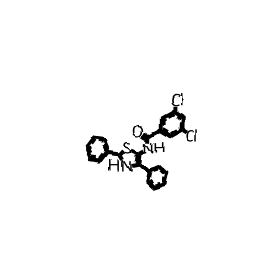 O=C(NC1=C(c2ccccc2)NC(c2ccccc2)S1)c1cc(Cl)cc(Cl)c1